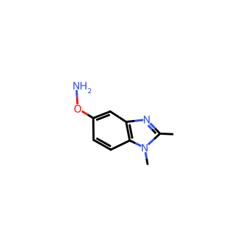 Cc1nc2cc(ON)ccc2n1C